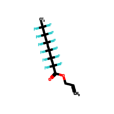 C=CCOC(=O)C(F)(F)C(F)(F)C(F)(F)C(F)(F)C(F)(F)C(F)(F)C(F)(F)F